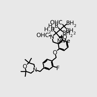 BC(B)(C=O)C(B)(B)C(B)(C(=O)NC)N(C=O)Cc1c(C)cccc1OCc1ccc(CN2CC(C)(C)OC(C)(C)C2)cc1F